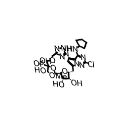 COCC(COCc1nn[nH]n1)(OC[C@H]1O[C@H](Cc2ccc3c(NC4CCCC4)nc(Cl)nn23)[C@H](O)[C@@H]1O)P(=O)(O)O